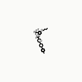 CCCCOc1ccc(OC(F)(F)C2CCC(C3CCC(c4ccc(C)cc4)CC3)OC2)c(C(F)(F)F)c1F